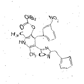 CC1=C(OC(=O)OCC(C)C)C(c2cccc([N+](=O)[O-])c2)C(c2nc(Cc3ccccc3)no2)=C(C)N1